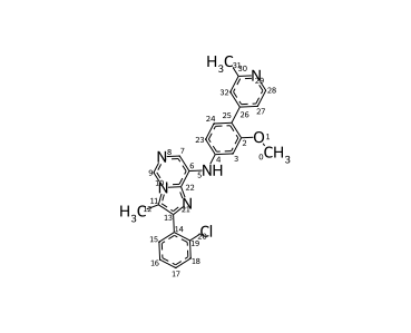 COc1cc(Nc2cncn3c(C)c(-c4ccccc4Cl)nc23)ccc1-c1ccnc(C)c1